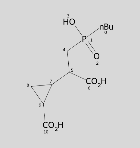 CCCCP(=O)(O)CC(C(=O)O)C1CC1C(=O)O